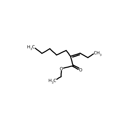 CCC=C(CCCCC)C(=O)OCC